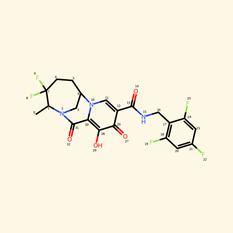 CC1N2CC(CCC1(F)F)n1cc(C(=O)NCc3c(F)cc(F)cc3F)c(=O)c(O)c1C2=O